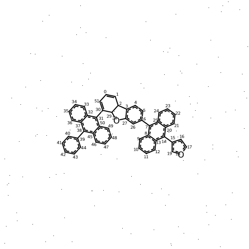 C1=CC2c3ccc(-c4c5ccccc5c(-c5ccoc5)c5ccccc45)cc3OC2C(c2c3ccccc3c(-c3ccccc3)c3ccccc23)=C1